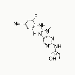 CC[C@@H](CO)Nc1ncc2nc(Nc3c(F)cc(C#N)cc3F)n(C)c2n1